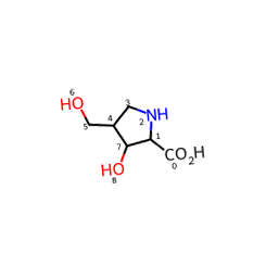 O=C(O)C1NCC(CO)C1O